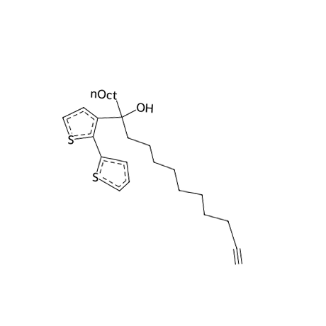 C#CCCCCCCCCC(O)(CCCCCCCC)c1ccsc1-c1cccs1